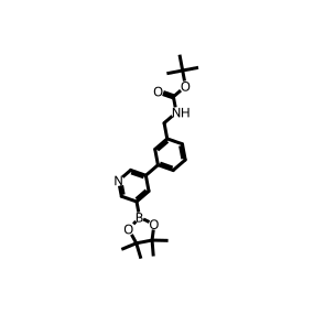 CC(C)(C)OC(=O)NCc1cccc(-c2cncc(B3OC(C)(C)C(C)(C)O3)c2)c1